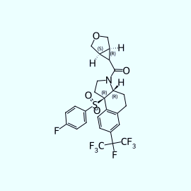 O=C(C1[C@H]2COC[C@@H]12)N1CC[C@@]2(S(=O)(=O)c3ccc(F)cc3)c3ccc(C(F)(C(F)(F)F)C(F)(F)F)cc3CC[C@@H]12